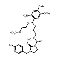 COc1cc(C(SCCOC(=O)O)SCCOC(=O)N2CCN(Cc3ccc(Cl)nc3)C2=N[N+](=O)[O-])c([N+](=O)[O-])cc1OC